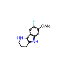 COc1cc2[nH]c3c(c2cc1F)NCCC3